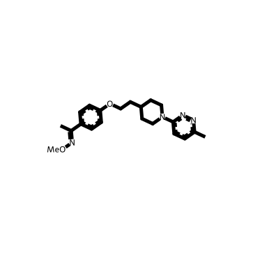 CON=C(C)c1ccc(OCCC2CCN(c3ccc(C)nn3)CC2)cc1